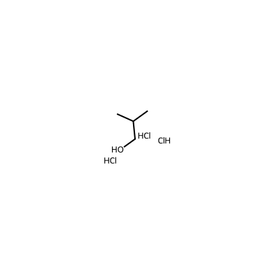 CC(C)CO.Cl.Cl.Cl